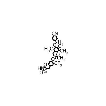 Cc1c(C)c2c(c(C)c1OCc1ccc(C#N)cc1)CCC(C)(COc1ccc(C=C3SC(=O)NC3=O)cc1C(F)(F)F)O2